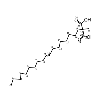 CCCCCCCCCC=CCCCCCCCC(C)(C(=O)O)C(=O)O